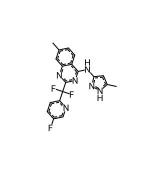 Cc1ccc2c(Nc3cc(C)[nH]n3)nc(C(F)(F)c3ccc(F)cn3)nc2c1